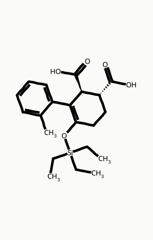 CC[Si](CC)(CC)OC1=C(c2ccccc2C)[C@@H](C(=O)O)[C@H](C(=O)O)CC1